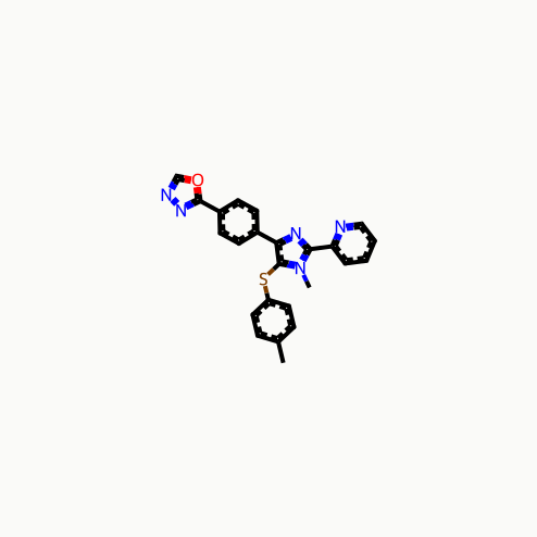 Cc1ccc(Sc2c(-c3ccc(-c4nnco4)cc3)nc(-c3ccccn3)n2C)cc1